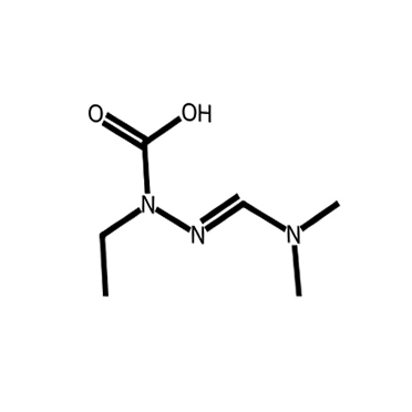 CCN(N=CN(C)C)C(=O)O